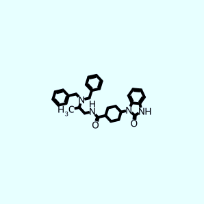 CC(CNC(=O)C1CCC(n2c(=O)[nH]c3ccccc32)CC1)N(Cc1ccccc1)Cc1ccccc1